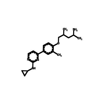 Cc1cc(-c2ccnc(NC3CC3)n2)ccc1OCC(C)CC(C)N